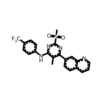 Cc1c(Nc2ccc(C(F)(F)F)cc2)nc(S(C)(=O)=O)nc1-c1ccc2cccnc2c1